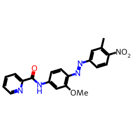 COc1cc(NC(=O)c2ccccn2)ccc1/N=N/c1ccc([N+](=O)[O-])c(C)c1